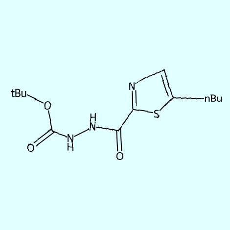 CCCCc1cnc(C(=O)NNC(=O)OC(C)(C)C)s1